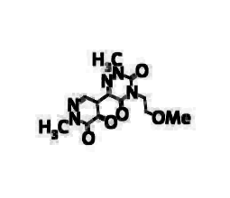 COCCn1c(=O)c(C2C=NN(C)C(=O)C2=O)nn(C)c1=O